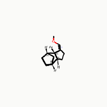 CO/C=C1/CC[C@@H]2[C@@H]3CC[C@@H](C3)[C@H]12